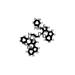 CCC(COC(=O)c1c(C2CCc3ccccc32)csc1Nc1ccccc1)[SH]1C=C(C2CCc3ccccc32)C(C(=O)O)=C1Nc1ccccc1